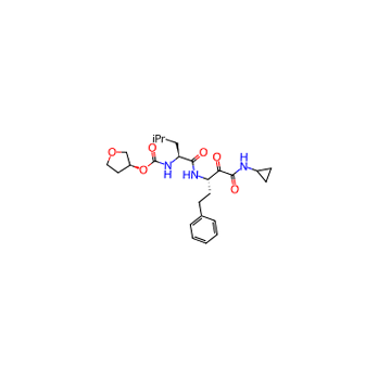 CC(C)C[C@H](NC(=O)O[C@H]1CCOC1)C(=O)N[C@@H](CCc1ccccc1)C(=O)C(=O)NC1CC1